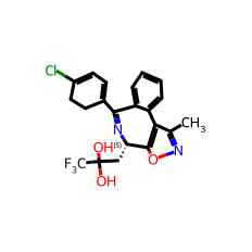 Cc1noc2c1-c1ccccc1C(C1=CC=C(Cl)CC1)=N[C@H]2CC(O)(O)C(F)(F)F